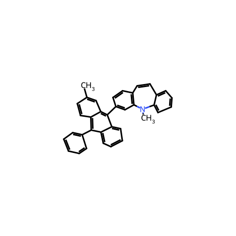 Cc1ccc2c(-c3ccccc3)c3ccccc3c(-c3ccc4c(c3)N(C)c3ccccc3C=C4)c2c1